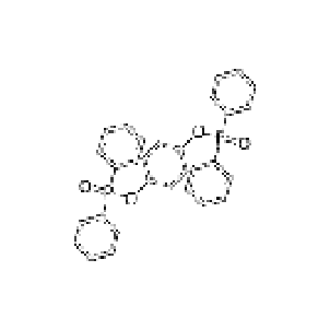 O=P(Oc1ccc(OP(=O)(c2ccccc2)c2ccccc2)cc1)(c1ccccc1)c1ccccc1